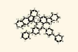 c1ccc(-c2ccc(N3c4ccc(-c5ccccc5)cc4B4c5c(cc6c(oc7ccccc76)c53)-c3cccc5c6cc7ccccc7cc6n4c35)cc2)cc1